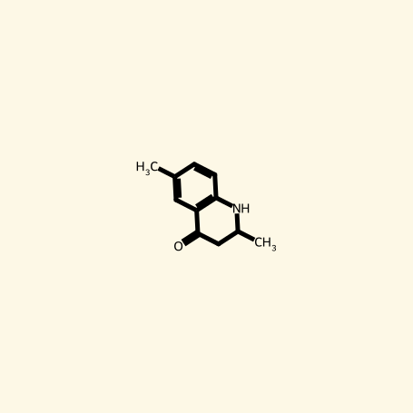 Cc1ccc2c(c1)C(=O)CC(C)N2